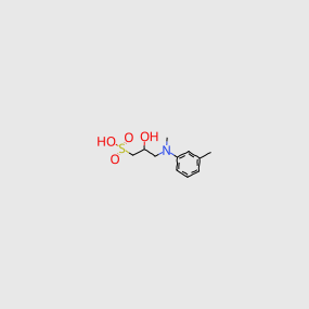 Cc1cccc(N(C)CC(O)CS(=O)(=O)O)c1